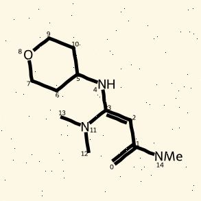 C=C(/C=C(/NC1CCOCC1)N(C)C)NC